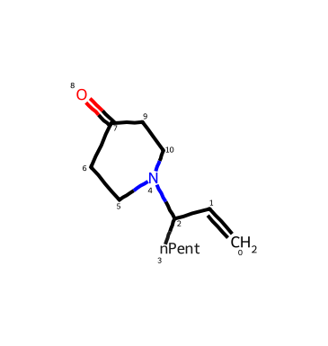 C=CC(CCCCC)N1CCC(=O)CC1